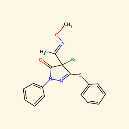 CO/N=C(\C)C1(Br)C(=O)N(c2ccccc2)N=C1Sc1ccccc1